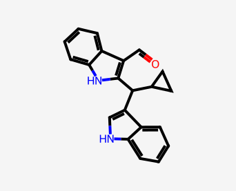 O=Cc1c(C(c2c[nH]c3ccccc23)C2CC2)[nH]c2ccccc12